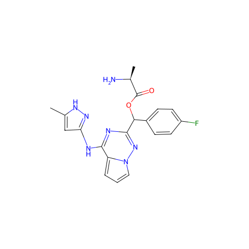 Cc1cc(Nc2nc(C(OC(=O)[C@H](C)N)c3ccc(F)cc3)nn3cccc23)n[nH]1